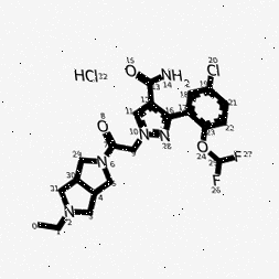 CCN1CC2CN(C(=O)Cn3cc(C(N)=O)c(-c4cc(Cl)ccc4OC(F)F)n3)CC2C1.Cl